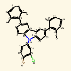 Cc1cccc(C)c1-c1ccc2c(c1)c1cc(-c3c(C)cccc3C)ccc1n2-c1ccc(Br)c(Cl)c1